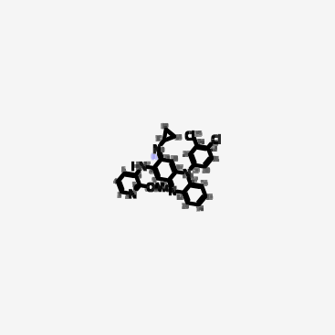 COc1ncccc1Nc1cc2nc3ccccc3n(-c3ccc(Cl)c(Cl)c3)c-2c/c1=N\C1CC1